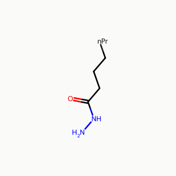 CCCCCCC(=O)NN